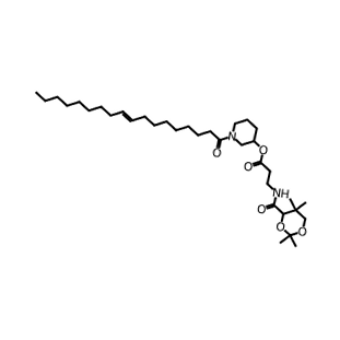 CCCCCCCCC=CCCCCCCCC(=O)N1CCCC(OC(=O)CCNC(=O)C2OC(C)(C)OCC2(C)C)C1